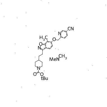 CNC.Cc1c(OCc2ccc(C#N)cn2)ccc2c(CCC3CCN(C(=O)OC(C)(C)C)CC3)noc12